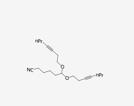 CCCC#CCCOC(CCCCC#N)OCCC#CCCC